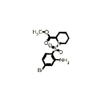 COC(=O)C1CCCCN1S(=O)(=O)c1ccc(Br)cc1N